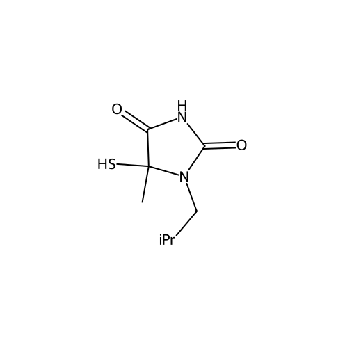 CC(C)CN1C(=O)NC(=O)C1(C)S